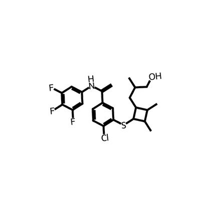 C=C(Nc1cc(F)c(F)c(F)c1)c1ccc(Cl)c(SC2C(C)C(C)C2CC(C)CO)c1